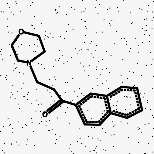 O=C(CCN1CCOCC1)c1ccc2ccccc2c1